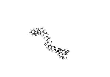 O=C(NCC(=O)N1CC=C(c2cccc([C@](O)(C(=O)O)c3ccccc3)c2)CC1)c1ccc(CNC[C@H](O)c2ccc(O)c3[nH]c(=O)ccc23)cc1